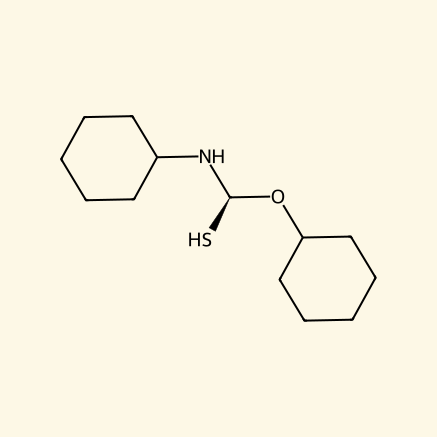 S[C@@H](NC1CCCCC1)OC1CCCCC1